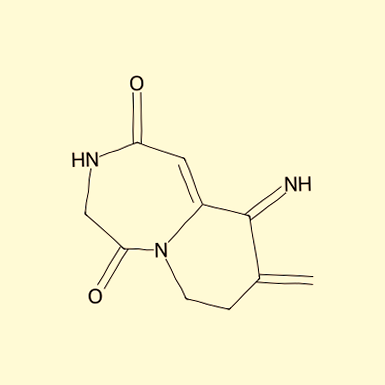 C=C1CCN2C(=O)CNC(=O)C=C2C1=N